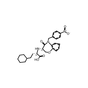 O=C(O)[C@H](CCC1CCCCC1)N[C@H]1COc2ccccc2N(Cc2ccc([N+](=O)[O-])cc2)C1=O